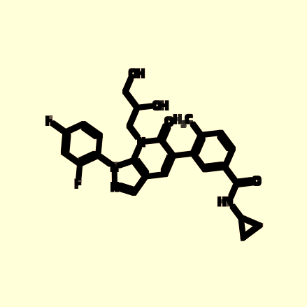 Cc1ccc(C(=O)NC2CC2)cc1-c1cc2cnn(-c3ccc(F)cc3F)c2n(CC(O)CO)c1=O